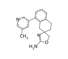 Cc1cncc(-c2cccc3c2CC2(CC3)COC(N)=N2)c1